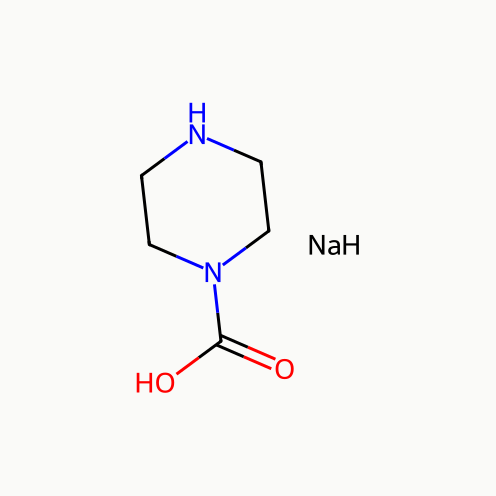 O=C(O)N1CCNCC1.[NaH]